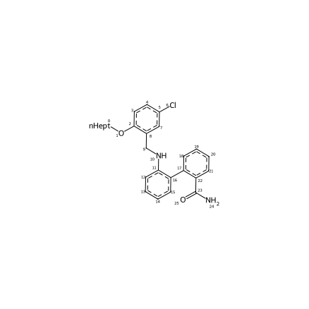 CCCCCCCOc1ccc(Cl)cc1CNc1ccccc1-c1ccccc1C(N)=O